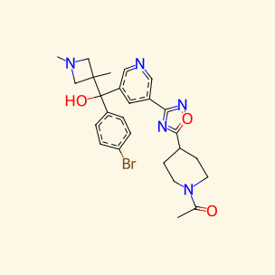 CC(=O)N1CCC(c2nc(-c3cncc(C(O)(c4ccc(Br)cc4)C4(C)CN(C)C4)c3)no2)CC1